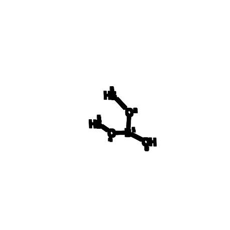 OB(OS)OS